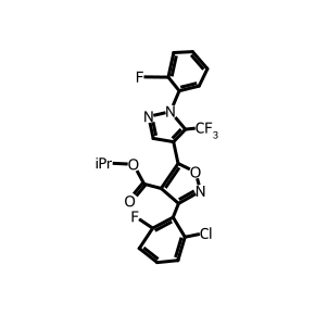 CC(C)OC(=O)c1c(-c2c(F)cccc2Cl)noc1-c1cnn(-c2ccccc2F)c1C(F)(F)F